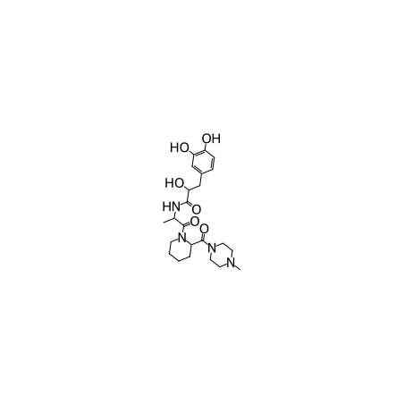 CC(NC(=O)C(O)Cc1ccc(O)c(O)c1)C(=O)N1CCCCC1C(=O)N1CCN(C)CC1